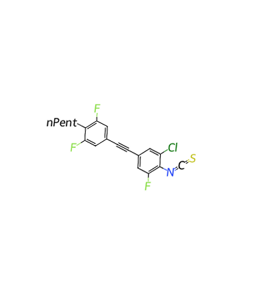 CCCCCc1c(F)cc(C#Cc2cc(F)c(N=C=S)c(Cl)c2)cc1F